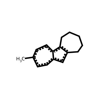 Cc1ccc2cc3c(c-2cc1)CCCCC3